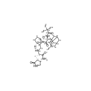 NC(=O)[C@H](C[C@@H]1CCNC1=O)NCC1[C@H]2CC[C@H](C2)N1C(=O)[C@@H](NC(=O)C(F)(F)F)C12CC3CC(CC(F)(C3)C1)C2